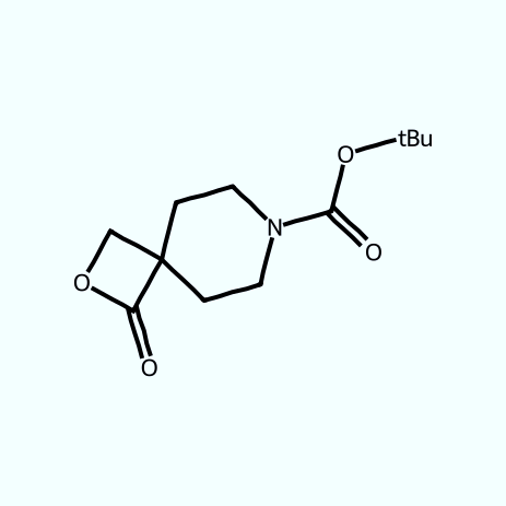 CC(C)(C)OC(=O)N1CCC2(CC1)COC2=O